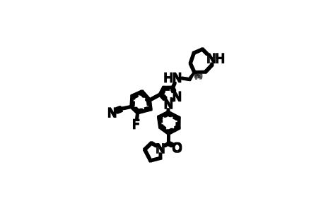 N#Cc1ccc(-c2cc(NC[C@H]3CCCNCC3)nn2-c2ccc(C(=O)N3CCCC3)cc2)cc1F